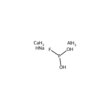 OP(O)F.[AlH3].[CaH2].[NaH]